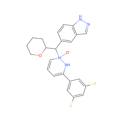 [O-][N+]1(C(c2ccc3[nH]ncc3c2)C2CCCCO2)C=CC=C(c2cc(F)cc(F)c2)N1